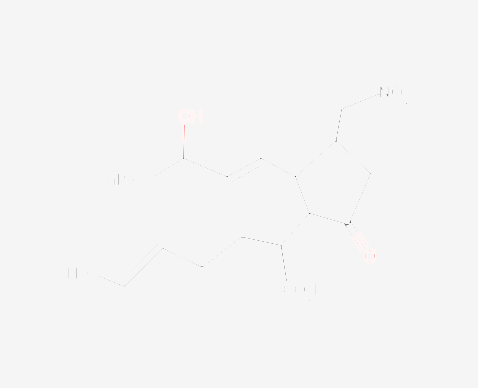 C/C=C/CCC(C(=O)O)C1C(=O)CC(C[N+](=O)[O-])C1/C=C/C(O)CCCCC